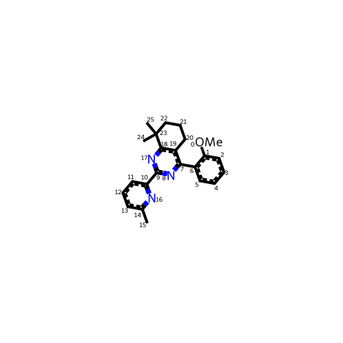 COc1ccccc1-c1nc(-c2cccc(C)n2)nc2c1CCCC2(C)C